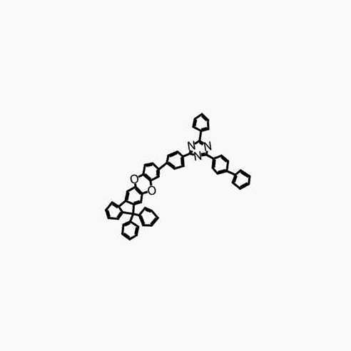 c1ccc(-c2ccc(-c3nc(-c4ccccc4)nc(-c4ccc(-c5ccc6c(c5)Oc5cc7c(cc5O6)-c5ccccc5C7(c5ccccc5)c5ccccc5)cc4)n3)cc2)cc1